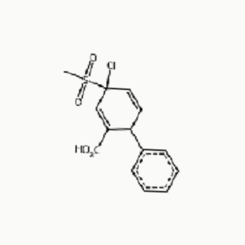 CS(=O)(=O)C1(Cl)C=CC(c2ccccc2)C(C(=O)O)=C1